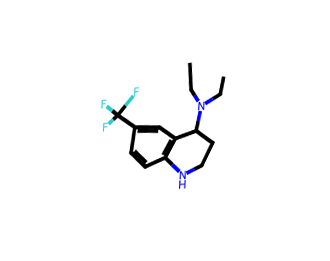 CCN(CC)C1CCNc2ccc(C(F)(F)F)cc21